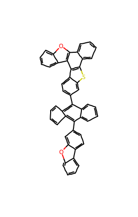 c1ccc2c(c1)oc1cc(-c3c4ccccc4c(-c4ccc5c(c4)sc4c6ccccc6c6oc7ccccc7c6c54)c4ccccc34)ccc12